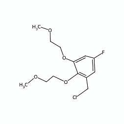 COCCOc1cc(F)cc(CCl)c1OCCOC